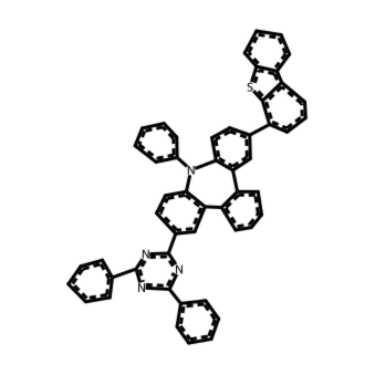 c1ccc(-c2nc(-c3ccccc3)nc(-c3ccc4c(c3)-c3ccccc3-c3cc(-c5cccc6c5sc5ccccc56)ccc3N4c3ccccc3)n2)cc1